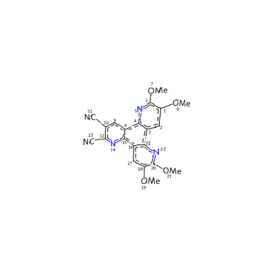 COc1cc2c(nc1OC)c1cc(C#N)c(C#N)nc1c1cc(OC)c(OC)nc12